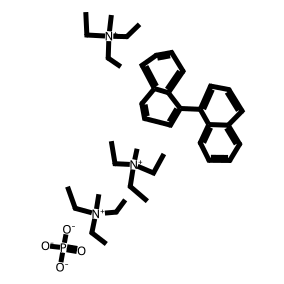 CC[N+](C)(CC)CC.CC[N+](C)(CC)CC.CC[N+](C)(CC)CC.O=P([O-])([O-])[O-].c1ccc2c(-c3cccc4ccccc34)cccc2c1